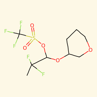 CC(F)(F)C(OC1CCCOC1)OS(=O)(=O)C(F)(F)F